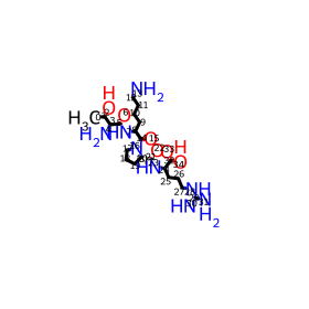 CC(O)C(N)C(=O)NC(CCCCN)C(=O)N1CCC[C@H]1C(=O)NC(CCCNC(=N)N)C(=O)O